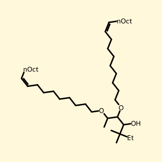 [CH2]CC(C)(C)C(O)C(OCCCCCCCC/C=C\CCCCCCCC)C(C)OCCCCCCCC/C=C\CCCCCCCC